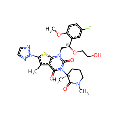 COc1ccc(F)cc1[C@H](Cn1c(=O)n([C@@]2(C)CCCN(C)C2=O)c(=O)c2c(C)c(-n3nccn3)sc21)OCCO